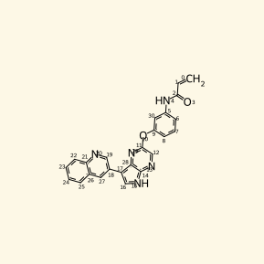 C=CC(=O)Nc1cccc(Oc2cnc3[nH]cc(-c4cnc5ccccc5c4)c3n2)c1